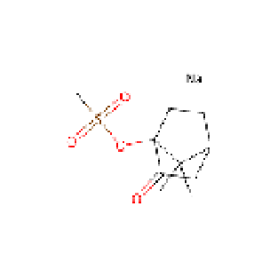 CC1(C)C2CCC1(OS(C)(=O)=O)C(=O)C2.[Na]